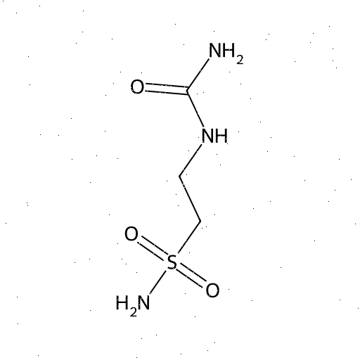 NC(=O)NCCS(N)(=O)=O